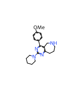 COc1ccc(-c2nc(N3CCCCC3)nc3c2CNCCC3)cc1